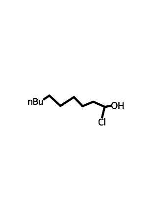 CCCCCCCCCC(O)Cl